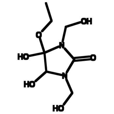 CCOC1(O)C(O)N(CO)C(=O)N1CO